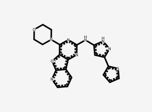 c1csc(-c2cc(Nc3nc(N4CCOCC4)c4oc5ncccc5c4n3)[nH]n2)c1